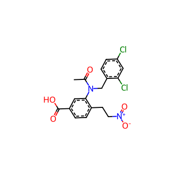 CC(=O)N(Cc1ccc(Cl)cc1Cl)c1cc(C(=O)O)ccc1CC[N+](=O)[O-]